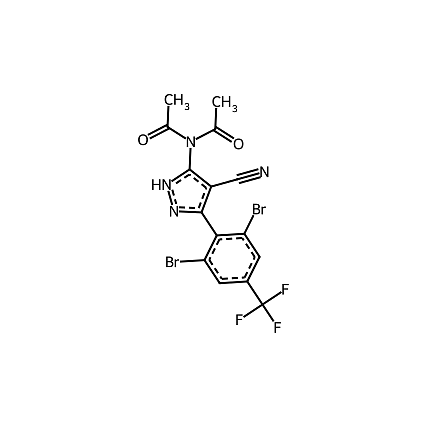 CC(=O)N(C(C)=O)c1[nH]nc(-c2c(Br)cc(C(F)(F)F)cc2Br)c1C#N